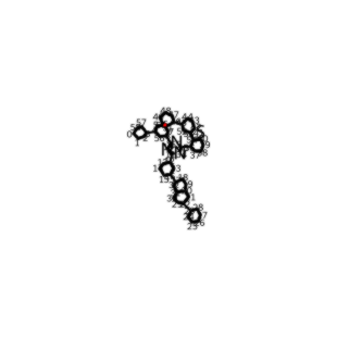 c1ccc(-c2cccc(-c3nc(-c4cccc(-c5ccc6cc(-c7ccccc7)ccc6c5)c4)nc(-c4cccc5sc6ccc(-c7ccccc7)cc6c45)n3)c2)cc1